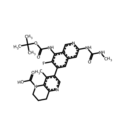 CNC(=O)Nc1cc2cc(-c3cnc4c(c3C)N(C(=O)O)CCC4)c(F)c(NC(=O)OC(C)(C)C)c2cn1